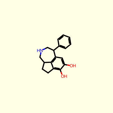 Oc1cc2c3c(c1O)CCC3CNCC2c1ccccc1